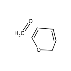 C1=CCOC=C1.C=O